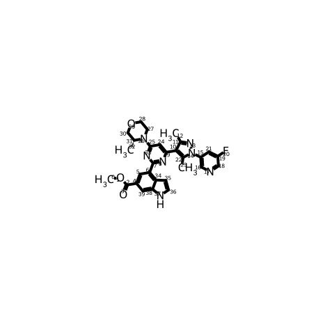 COC(=O)c1cc(-c2nc(-c3c(C)nn(-c4cncc(F)c4)c3C)cc(N3CCOC[C@H]3C)n2)c2cc[nH]c2c1